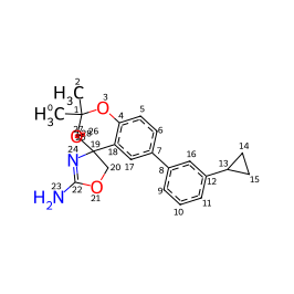 CC1(C)Oc2ccc(-c3cccc(C4CC4)c3)cc2C2(COC(N)=N2)C12COC2